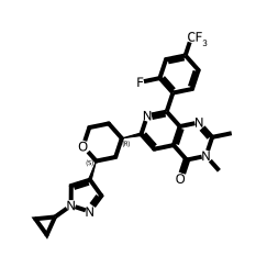 Cc1nc2c(-c3ccc(C(F)(F)F)cc3F)nc([C@@H]3CCO[C@H](c4cnn(C5CC5)c4)C3)cc2c(=O)n1C